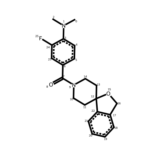 CN(C)c1ccc(C(=O)N2CCC3(CC2)OCc2ccccc23)cc1F